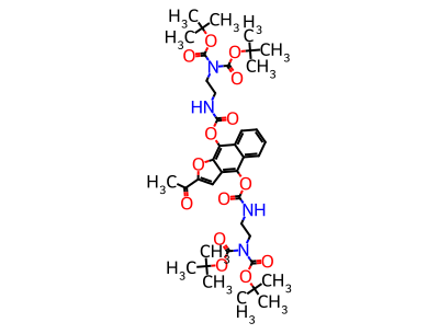 CC(=O)c1cc2c(OC(=O)NCCN(C(=O)OC(C)(C)C)C(=O)OC(C)(C)C)c3ccccc3c(OC(=O)NCCN(C(=O)OC(C)(C)C)C(=O)OC(C)(C)C)c2o1